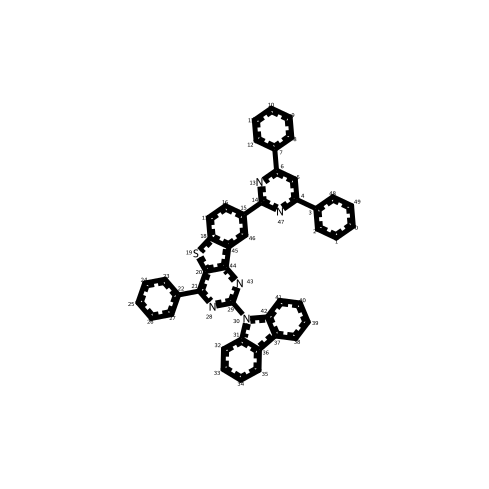 c1ccc(-c2cc(-c3ccccc3)nc(-c3ccc4sc5c(-c6ccccc6)nc(-n6c7ccccc7c7ccccc76)nc5c4c3)n2)cc1